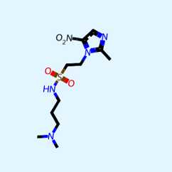 Cc1ncc([N+](=O)[O-])n1CCS(=O)(=O)NCCCN(C)C